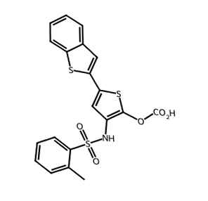 Cc1ccccc1S(=O)(=O)Nc1cc(-c2cc3ccccc3s2)sc1OC(=O)O